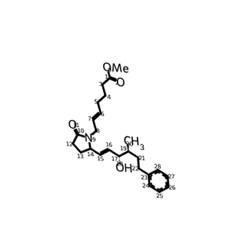 COC(=O)CCCC=CCN1C(=O)CCC1C=C[C@@H](O)[C@@H](C)CCc1ccccc1